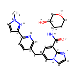 Cn1ccc(-c2ccc(Cc3cc(C(=O)N[C@H]4CCOC[C@@H]4O)c4nccn4c3)cn2)n1